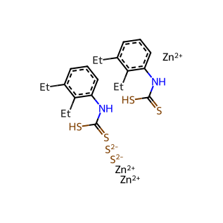 CCc1cccc(NC(=S)S)c1CC.CCc1cccc(NC(=S)S)c1CC.[S-2].[S-2].[Zn+2].[Zn+2].[Zn+2]